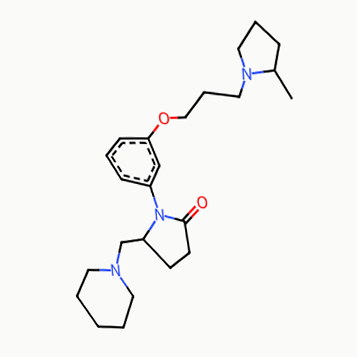 CC1CCCN1CCCOc1cccc(N2C(=O)CCC2CN2CCCCC2)c1